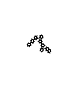 C1=Cc2c(n(-c3ccc4ccccc4c3)c3ccc(-c4ccc5c(c4)c4ccccc4n5-c4cccc(-c5ccc(-c6ccccc6)cc5)c4)cc23)CC1